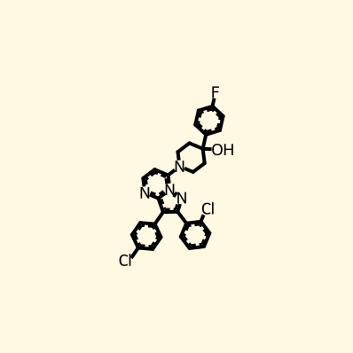 OC1(c2ccc(F)cc2)CCN(c2ccnc3c(-c4ccc(Cl)cc4)c(-c4ccccc4Cl)nn23)CC1